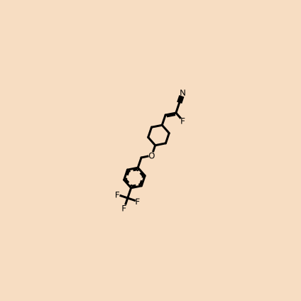 N#CC(F)=CC1CCC(OCc2ccc(C(F)(F)F)cc2)CC1